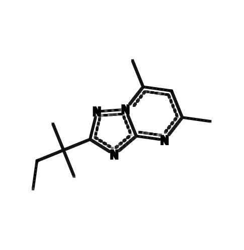 CCC(C)(C)c1nc2nc(C)cc(C)n2n1